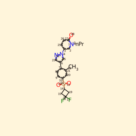 CCCn1cc(-n2cc(-c3ccc(S(=O)(=O)C4CC(F)(F)C4)cc3C)cn2)ccc1=O